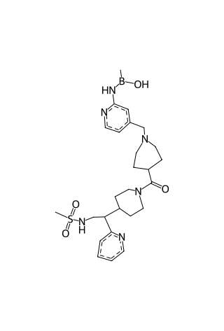 CB(O)Nc1cc(CN2CCC(C(=O)N3CCC(C(CNS(C)(=O)=O)c4ccccn4)CC3)CC2)ccn1